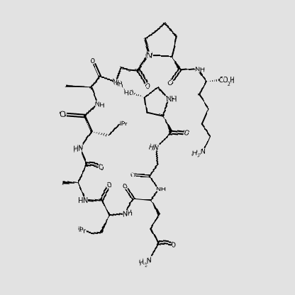 CC(C)C[C@H](NC(=O)[C@H](C)NC(=O)[C@H](CC(C)C)NC(=O)[C@H](CCC(N)=O)NC(=O)CNC(=O)[C@H]1C[C@H](O)CN1)C(=O)N[C@@H](C)C(=O)NCC(=O)N1CCC[C@H]1C(=O)N[C@@H](CCCCN)C(=O)O